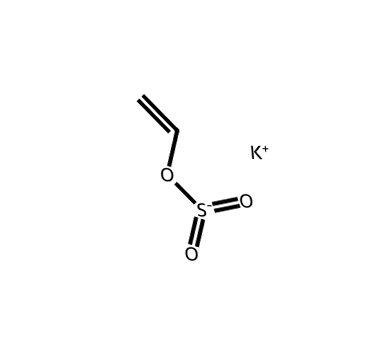 C=CO[S-](=O)=O.[K+]